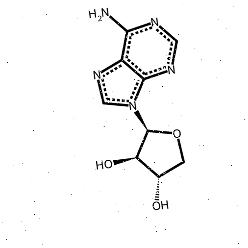 Nc1ncnc2c1ncn2[C@H]1OC[C@H](O)[C@H]1O